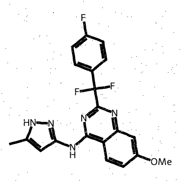 COc1ccc2c(Nc3cc(C)[nH]n3)nc(C(F)(F)c3ccc(F)cc3)nc2c1